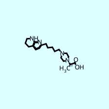 C[C@@H](C(=O)O)N1CCN(CCCCCc2ccc3c(n2)NCCC3)CC1